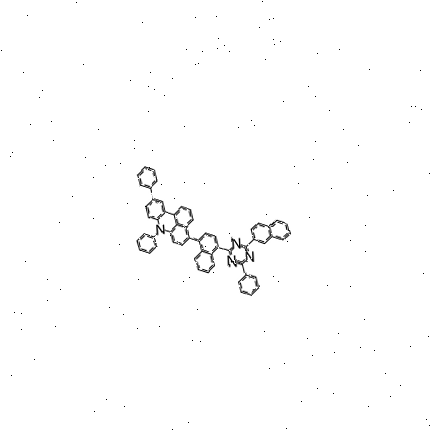 c1ccc(-c2ccc3c(c2)-c2cccc4c(-c5ccc(-c6nc(-c7ccccc7)nc(-c7ccc8ccccc8c7)n6)c6ccccc56)ccc(c24)N3c2ccccc2)cc1